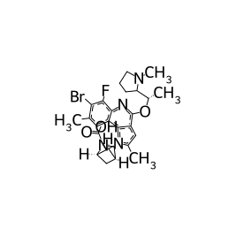 Cc1cc2c(nc(O[C@@H](C)C3CCCN3C)c3cc(C)n([C@H]4[C@@H]5C[C@H]4N(C(=O)O)C5)c32)c(F)c1Br